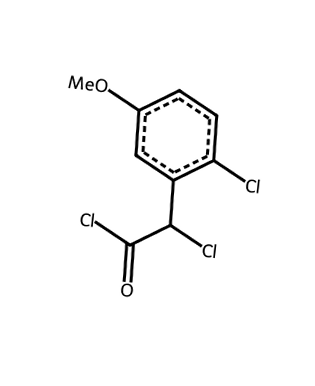 COc1ccc(Cl)c(C(Cl)C(=O)Cl)c1